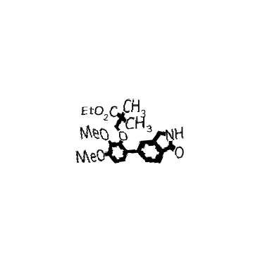 CCOC(=O)C(C)(C)COc1c(-c2ccc3c(c2)CNC3=O)ccc(OC)c1OC